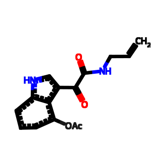 C=CCNC(=O)C(=O)c1c[nH]c2cccc(OC(C)=O)c12